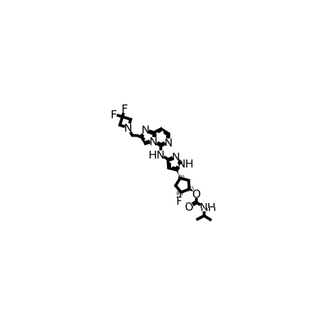 CC(C)NC(=O)O[C@H]1C[C@@H](c2cc(Nc3nccc4nc(CN5CC(F)(F)C5)cn34)n[nH]2)C[C@H]1F